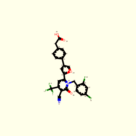 N#Cc1c(C(F)(F)F)cc(-c2cc(-c3ccc(CC(=O)O)cc3)co2)n(Cc2ccc(F)cc2F)c1=O